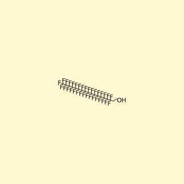 OCCC(F)(F)C(F)(F)C(F)(F)C(F)(F)C(F)(F)C(F)(F)C(F)(F)C(F)(F)C(F)(F)C(F)(F)C(F)(F)C(F)(F)C(F)(F)C(F)(F)C(F)(F)C(F)(F)F